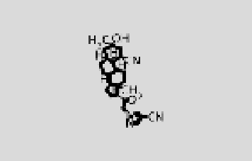 C[C@@]1(O)CC(C#N)[C@H]2[C@H](CC[C@@H]3[C@@H]2CC[C@]2(C)[C@@H](C(=O)Cn4cc(C#N)cn4)CC[C@@H]32)C1